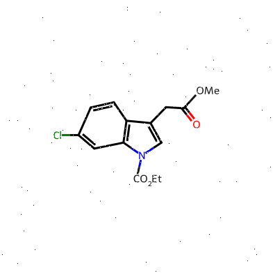 CCOC(=O)n1cc(CC(=O)OC)c2ccc(Cl)cc21